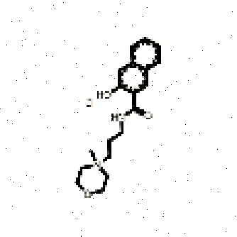 C[N+]1(CCCNC(=O)c2cc3ccccc3cc2O)CCOCC1.[Cl-]